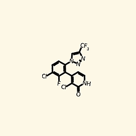 O=c1[nH]ccc(-c2c(-n3cc(C(F)(F)F)nn3)ccc(Cl)c2F)c1Cl